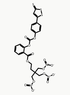 O=C(Oc1ccc(-c2cc(=S)ss2)cc1)Oc1ccccc1C(=O)OCCC(CO[N+](=O)[O-])(CO[N+](=O)[O-])CO[N+](=O)[O-]